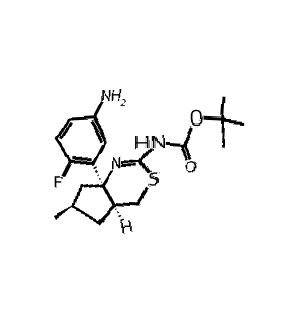 C[C@@H]1C[C@@H]2CSC(NC(=O)OC(C)(C)C)=N[C@]2(c2cc(N)ccc2F)C1